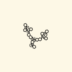 c1ccc(N(c2ccc3cc4c5cc6oc7ccccc7c6c6c7cc8ccc(N(c9ccccc9)c9cccc%10c9oc9ccccc9%10)cc8cc7n(c4cc3c2)c56)c2cccc3c2oc2ccccc23)cc1